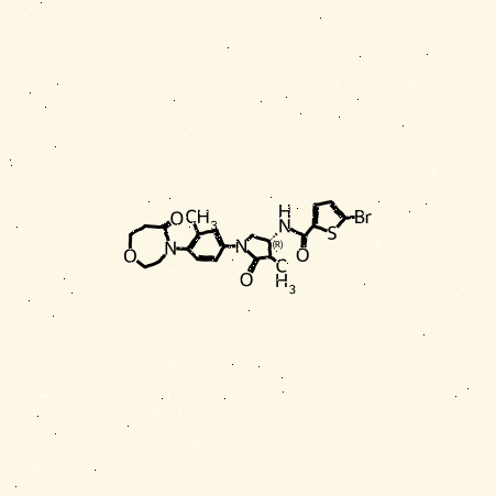 Cc1cc(N2C[C@H](NC(=O)c3ccc(Br)s3)C(C)C2=O)ccc1N1CCOCCC1=O